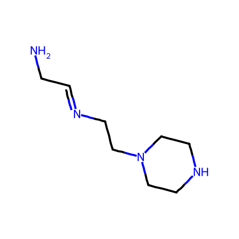 NCC=NCCN1CCNCC1